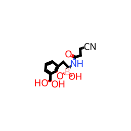 N#CCCC(=O)N[C@H]1Cc2cccc(C(O)O)c2OB1O